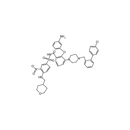 Nc1cccc(Oc2c(C(=O)NS(=O)(=O)c3ccc(NCC4CCOCC4)c([N+](=O)[O-])c3)cccc2N2CCN(Cc3ccccc3-c3ccc(Cl)cc3)CC2)c1